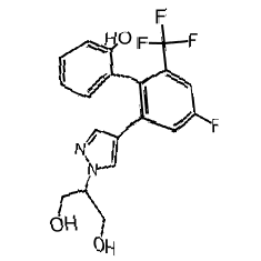 OCC(CO)n1cc(-c2cc(F)cc(C(F)(F)F)c2-c2ccccc2O)cn1